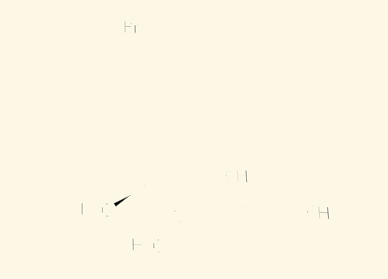 CCCCC(C)(CC)[C@@H](C)c1ccc(Br)cc1